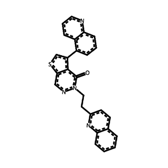 O=c1c2c(-c3cccc4ncccc34)csc2cnn1CCc1ccc2ccccc2n1